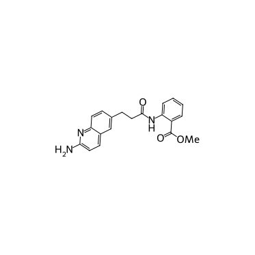 COC(=O)c1ccccc1NC(=O)CCc1ccc2nc(N)ccc2c1